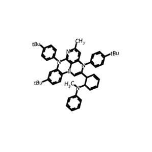 Cc1cc2c3c(n1)N(c1ccc(C(C)(C)C)cc1)c1cc(C(C)(C)C)ccc1B3C=C(C1C=CC=CC1N(C)c1ccccc1)N2c1ccc(C(C)(C)C)cc1